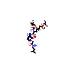 CC(C)CCNC(=O)Cn1cccc(NC(=O)C(CCC=CC(=O)OC(C)C)NC(=O)OC(C)(C)C)c1=O